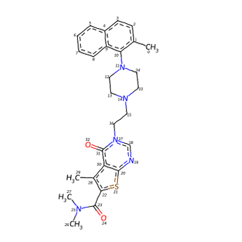 Cc1ccc2ccccc2c1N1CCN(CCn2cnc3sc(C(=O)N(C)C)c(C)c3c2=O)CC1